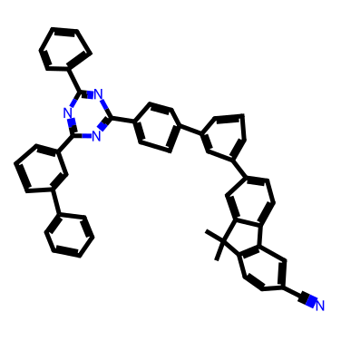 CC1(C)c2ccc(C#N)cc2-c2ccc(-c3cccc(-c4ccc(-c5nc(-c6ccccc6)nc(-c6cccc(-c7ccccc7)c6)n5)cc4)c3)cc21